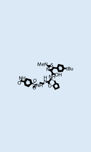 CNc1nc(C(O)N[C@H](CC2CCCC2)C(=O)NCCNS(=O)(=O)c2ccc(C(N)=O)cc2)c(-c2ccc(C(C)(C)C)cc2)s1